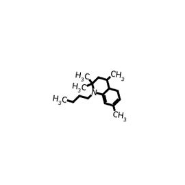 CCCCN1C2=CC(C)=CCC2C(C)CC1(C)C